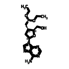 CCOP(C[C@H]1C[C@H](n2cnc3c(N)ncnc32)O[C@@H]1CO)OCC